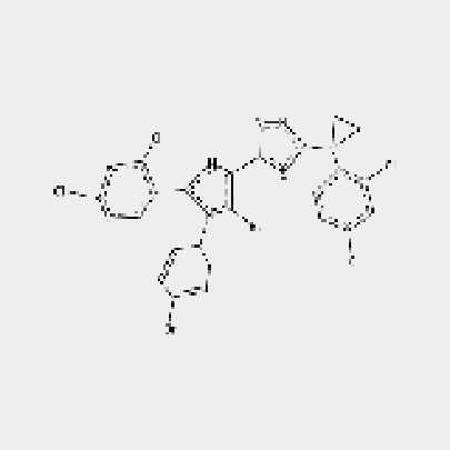 CCc1c(-c2nnc(C3(c4ccc(Cl)cc4Cl)CC3)s2)nc(-c2ccc(Cl)cc2Cl)n1C1C=CC(Br)=CC1